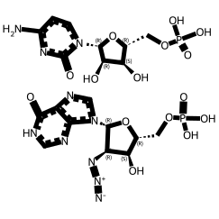 Nc1ccn([C@@H]2O[C@H](COP(=O)(O)O)[C@@H](O)[C@H]2O)c(=O)n1.[N-]=[N+]=N[C@@H]1[C@H](O)[C@@H](COP(=O)(O)O)O[C@H]1n1cnc2c(=O)[nH]cnc21